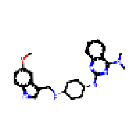 COc1ccc2[nH]cc(CN[C@H]3CC[C@@H](Nc4nc(N(C)C)c5ccccc5n4)CC3)c2c1